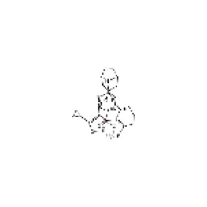 COC(=O)c1cnc(N2C3CCC2CC(OCc2c(-c4c(F)cccc4F)noc2C2CC2)C3)cn1